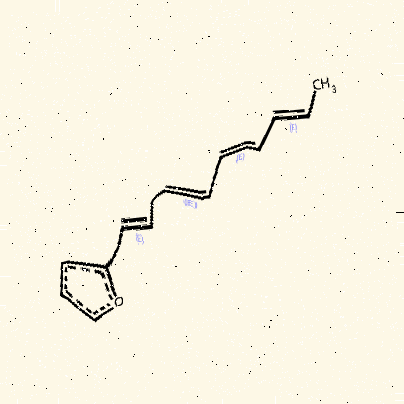 C/C=C/C=C/C=C/C=C/c1ccco1